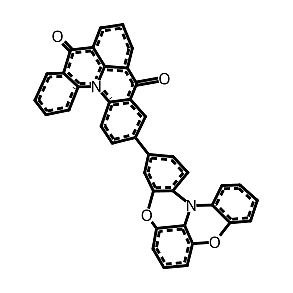 O=c1c2ccccc2n2c3ccc(-c4ccc5c(c4)Oc4cccc6c4N5c4ccccc4O6)cc3c(=O)c3cccc1c32